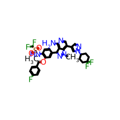 C[C@H](Oc1cc(-c2nn(C)c3c(-c4cnn(C5CCC(F)(F)CC5)c4)cnc(N)c23)ccc1NS(=O)(=O)C(F)F)c1ccc(F)cc1